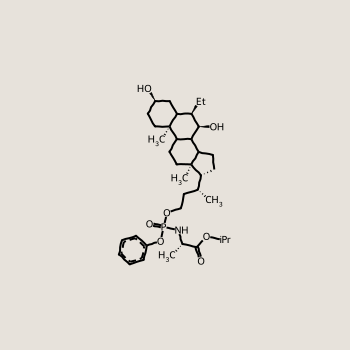 CC[C@@H]1C2C[C@H](O)CC[C@]2(C)C2CC[C@@]3(C)C(CC[C@@H]3[C@H](C)CCOP(=O)(N[C@@H](C)C(=O)OC(C)C)Oc3ccccc3)C2[C@@H]1O